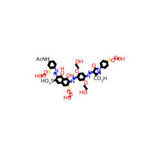 CC(=O)Nc1ccc(N=Nc2c(S(=O)(=O)O)cc3cc(SOOO)c(N=Nc4cc(OCCO)c(N=NC5C(=O)N(c6ccc(SOOO)cc6)N=C5C(=O)O)cc4OCCO)c(O)c3c2O)c(SOOO)c1